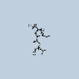 Bc1cc(C(=C)CN(C=O)C(C)C)n(CC)n1